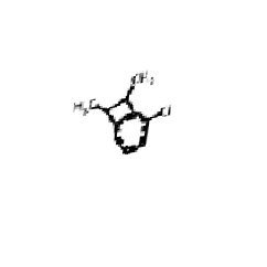 CC1c2cccc(Cl)c2C1C